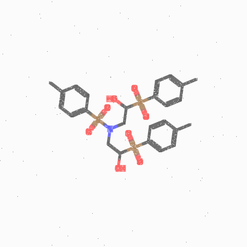 Cc1ccc(S(=O)(=O)C(O)CN(CC(O)S(=O)(=O)c2ccc(C)cc2)S(=O)(=O)c2ccc(C)cc2)cc1